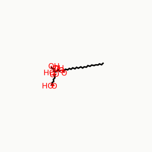 CCCCCCCCCCCCCCCCCCCCCC(=O)OCC(=O)[C@H](OC(=O)CCCCC(=O)O)[C@@H](O)[C@H](O)CO